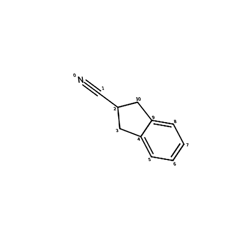 N#CC1Cc2ccccc2C1